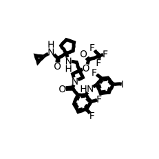 O=C(c1ccc(F)c(F)c1Nc1ccc(I)cc1F)N1CC(CNC2(C(=O)NC3CC3)CCCC2)(OC(=O)C(F)(F)F)C1